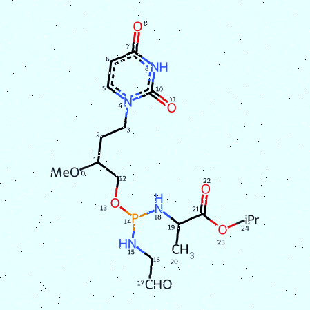 COC(CCn1ccc(=O)[nH]c1=O)COP(NCC=O)NC(C)C(=O)OC(C)C